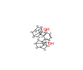 Oc1ccc(O)c(C23CC4CC(CC(C4)C2)C3)c1C12CC3CC(CC(C3)C1)C2